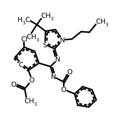 CCCCn1cc(C(C)(C)C)sc1=NC(=NC(=O)Oc1ccccc1)c1cc(Cl)ccc1OC(C)=O